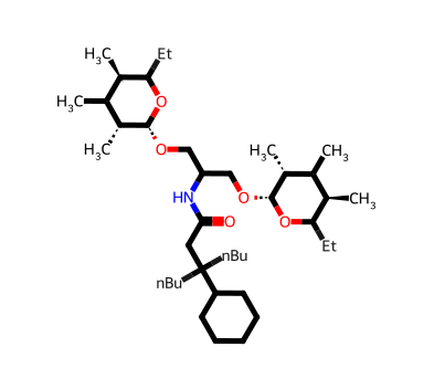 CCCCC(CCCC)(CC(=O)NC(CO[C@H]1OC(CC)[C@H](C)C(C)[C@H]1C)CO[C@H]1OC(CC)[C@H](C)C(C)[C@H]1C)C1CCCCC1